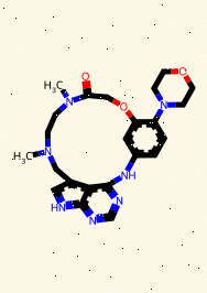 CN1CCN(C)C(=O)COc2cc(ccc2N2CCOCC2)Nc2ncnc3[nH]cc(c23)C1